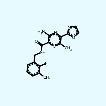 Cc1cccc(CNC(=O)c2nc(C)c(-c3ncco3)nc2N)c1F